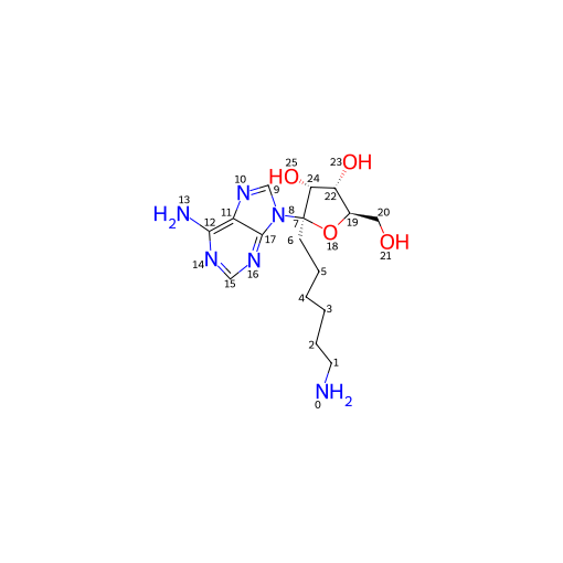 NCCCCCC[C@@]1(n2cnc3c(N)ncnc32)O[C@H](CO)[C@@H](O)[C@H]1O